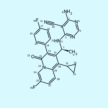 C[C@H](Nc1ncnc(N)c1C#N)c1c(-c2ccc(F)cc2)c(=O)n2cc(F)ccc2c1C1CC1